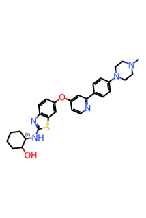 CN1CCN(c2ccc(-c3cc(Oc4ccc5nc(N[C@@H]6CCCCC6O)sc5c4)ccn3)cc2)CC1